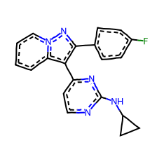 Fc1ccc(-c2nn3ccccc3c2-c2ccnc(NC3CC3)n2)cc1